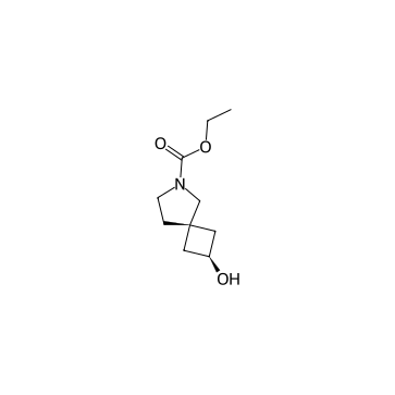 CCOC(=O)N1CC[C@]2(C1)C[C@H](O)C2